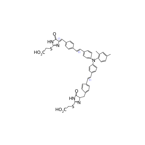 Cc1ccc(N(c2ccc(/C=C/c3ccc(/C=C4\N=C(SCC(=O)O)NC4=O)cc3)cc2)c2ccc(/C=C/c3ccc(CC4N=C(SCC(=O)O)NC4=O)cc3)cc2)c(C)c1